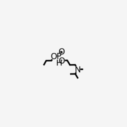 CCCO[PH](=O)OCCCN(C)C(C)C